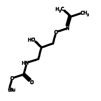 CC(C)=NOCC(O)CNC(=O)OC(C)(C)C